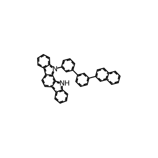 c1cc(-c2cccc(-n3c4ccccc4c4ccc5c6ccccc6[nH]c5c43)c2)cc(-c2ccc3ccccc3c2)c1